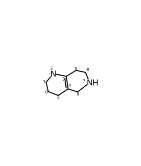 C1C[N]C2=C(C1)CNCC2